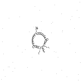 C=C=C=C=C1C(CCCCC)CCOC(=O)CCCCCCCC(CCCN(C)C)CCCCCCCC(=O)OCCC1CCCCC